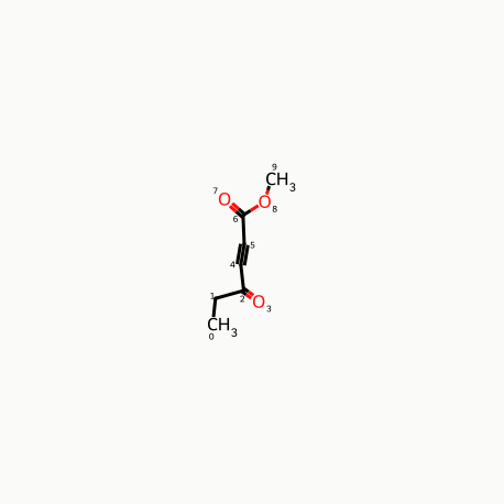 CCC(=O)C#CC(=O)OC